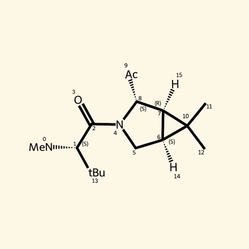 CN[C@H](C(=O)N1C[C@H]2[C@@H]([C@H]1C(C)=O)C2(C)C)C(C)(C)C